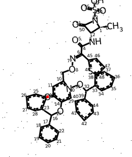 C[C@H]1[C@H](NC(=O)C(=NOCc2cc(=O)c(OC(c3ccccc3)c3ccccc3)cn2OC(c2ccccc2)c2ccccc2)c2cccs2)C(=O)N1S(=O)(=O)O